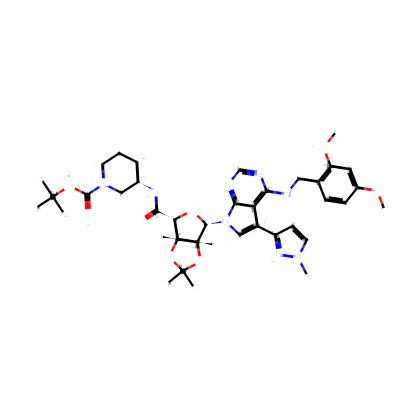 COc1ccc(CNc2ncnc3c2c(-c2ccn(C)n2)cn3[C@@H]2O[C@H](C(=O)N[C@@H]3CCCN(C(=O)OC(C)(C)C)C3)[C@H]3OC(C)(C)O[C@H]32)c(OC)c1